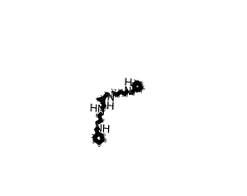 c1ccc(CNCCCCNCC2CC2CNCCCCNCc2ccccc2)cc1